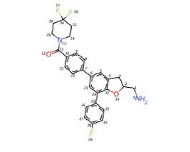 NCC1Cc2cc(-c3ccc(C(=O)N4CCC(F)(F)CC4)cc3)cc(-c3ccc(F)cc3)c2O1